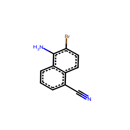 N#Cc1cccc2c(N)c(Br)ccc12